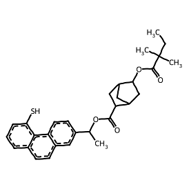 CCC(C)(C)C(=O)OC1CC2CC1CC2C(=O)OC(C)c1ccc2c(ccc3cccc(S)c32)c1